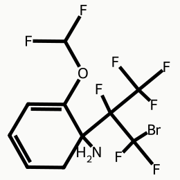 NC1(C(F)(C(F)(F)F)C(F)(F)Br)CC=CC=C1OC(F)F